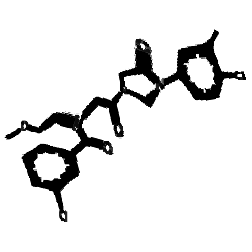 COCCN(CC(=O)N1CC(=O)N(c2ccc(Cl)c(C)c2)C1)C(=O)c1cccc(Cl)c1